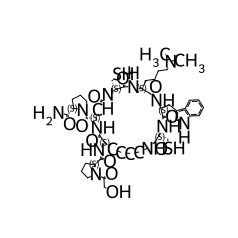 CN(C)CCCC[C@@H]1NC(=O)[C@@H](CS)NC(=O)C[C@@H](C(=O)N2CCC[C@H]2C(N)=O)NC(=O)[C@@H](NC(=O)[C@@H]2CCCN2C(=O)CO)CCCCNC(=O)[C@@H](CS)NC(=O)[C@H](Cc2c[nH]c3ccccc23)NC1=O